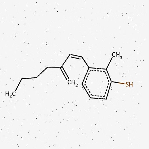 C=C(/C=C\c1cccc(S)c1C)CCCC